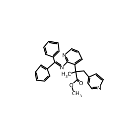 COC(=O)C(C)(Cc1ccncc1)c1cccnc1N=C(c1ccccc1)c1ccccc1